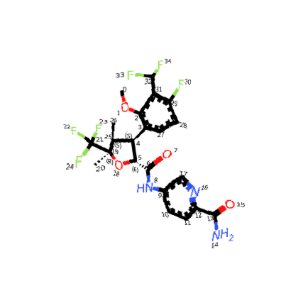 COc1c([C@H]2[C@H](C(=O)Nc3ccc(C(N)=O)nc3)O[C@@](C)(C(F)(F)F)[C@H]2C)ccc(F)c1C(F)F